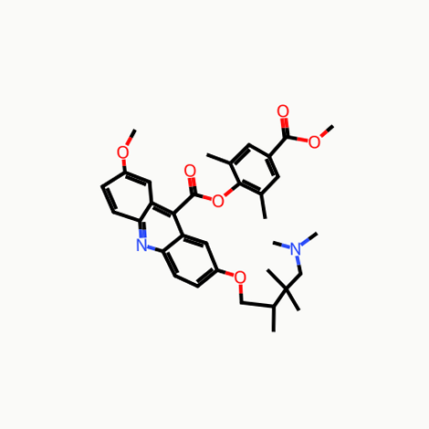 COC(=O)c1cc(C)c(OC(=O)c2c3cc(OC)ccc3nc3ccc(OCC(C)C(C)(C)CN(C)C)cc23)c(C)c1